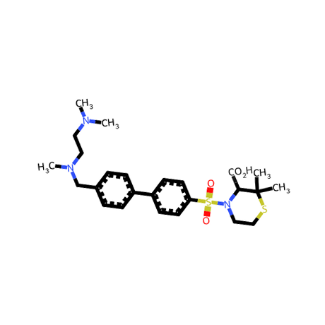 CN(C)CCN(C)Cc1ccc(-c2ccc(S(=O)(=O)N3CCSC(C)(C)C3C(=O)O)cc2)cc1